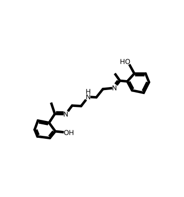 C/C(=N\CCNCC/N=C(\C)c1ccccc1O)c1ccccc1O